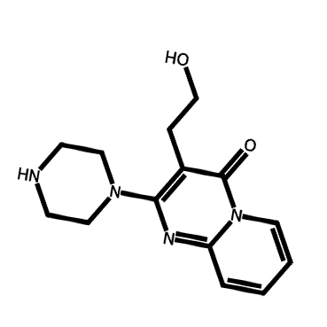 O=c1c(CCO)c(N2CCNCC2)nc2ccccn12